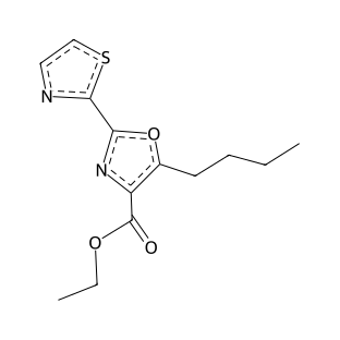 CCCCc1oc(-c2nccs2)nc1C(=O)OCC